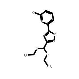 CCOC(OCC)c1noc(-c2cccc(Cl)n2)n1